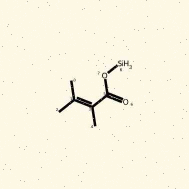 CC(C)=C(C)C(=O)O[SiH3]